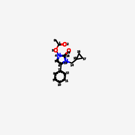 CC(=O)On1cc(-c2ccccc2)n(CC2CC2)c1=O